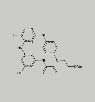 C=CC(=O)Nc1cc(O)cc(Nc2nc(Nc3ccc(OCCOC)cc3)ncc2F)c1